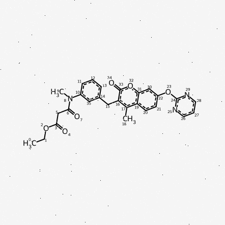 CCOC(=O)CC(=O)N(C)c1cccc(Cc2c(C)c3ccc(Oc4ncccn4)cc3oc2=O)c1